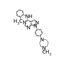 Cc1ccccc1Nc1ncnc2c1cnn2-c1ccc(N2CCCN(C)CC2)cc1